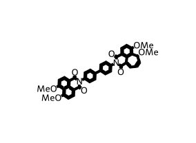 COc1ccc2c3c1C(OC)C#CC=C3C(=O)N(c1ccc(-c3ccc(N4C(=O)c5ccc(OC)c6c(OC)ccc(c56)C4=O)cc3)cc1)C2=O